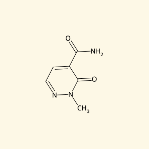 Cn1nccc(C(N)=O)c1=O